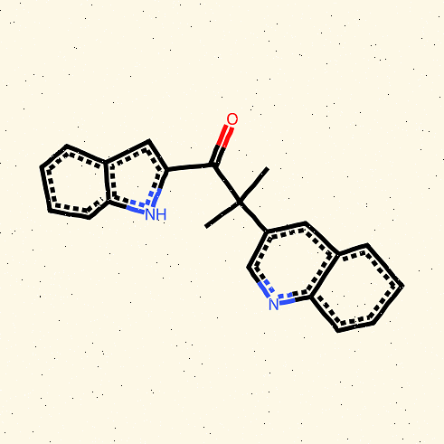 CC(C)(C(=O)c1cc2ccccc2[nH]1)c1cnc2ccccc2c1